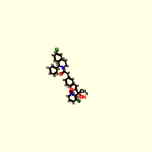 CC(O)(c1cc2cc(CC(=O)N3CCc4cc(Cl)ccc4C3c3ccccc3)ccc2o1)c1c(F)ccc[n+]1[O-]